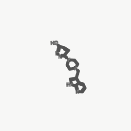 Oc1ccc(N2CCN(Cc3c[nH]c4ncccc34)CC2)nn1